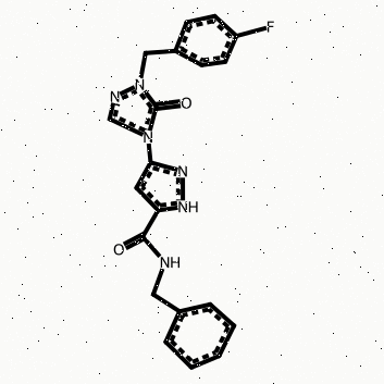 O=C(NCc1ccccc1)c1cc(-n2cnn(Cc3ccc(F)cc3)c2=O)n[nH]1